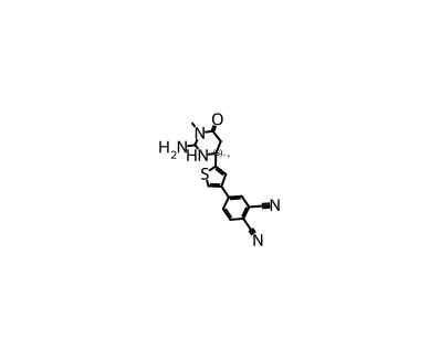 CN1C(=O)C[C@@](C)(c2cc(-c3ccc(C#N)c(C#N)c3)cs2)NC1N